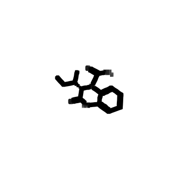 CCC(C)[C@H]1C(=O)Nc2ccccc2N1C(N)=O